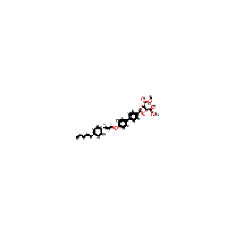 CCCCC[C@H]1CC[C@H](/C=C/COc2ccc(-c3ccc(C4O[C@@H](C(=O)OC)[C@H](C(=O)OC)O4)cc3)cc2)CC1